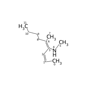 C/C=C\C(NC)=C(\C)CCCC